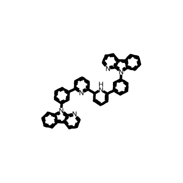 C1=CC(c2cccc(-c3cccc(-n4c5ccccc5c5cccnc54)c3)n2)NC(c2cccc(-n3c4ccccc4c4cccnc43)c2)=C1